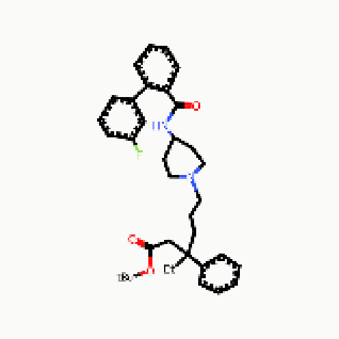 CCC(CCCN1CCC(NC(=O)c2ccccc2-c2cccc(F)c2)CC1)(CC(=O)OC(C)(C)C)c1ccccc1